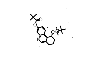 CC(C)(C)C(=O)Oc1ccc2c3c(cnc2c1)CCCC3O[Si](C)(C)C(C)(C)C